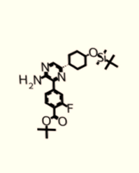 CC(C)(C)OC(=O)c1ccc(-c2nc([C@H]3CC[C@H](O[Si](C)(C)C(C)(C)C)CC3)cnc2N)cc1F